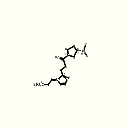 CCOC(=O)CCn1ccnc1CCC(=O)N1CC[C@H](N(C)C)C1